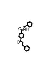 O=C(C=Cc1ccccc1)c1ccc(C(=O)N[CH]c2ccccc2)cc1